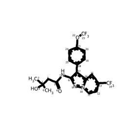 CC(C)(O)CC(=O)Nc1nn2ccc(C(F)(F)F)cc2c1-c1ccc(OC(F)(F)F)cc1